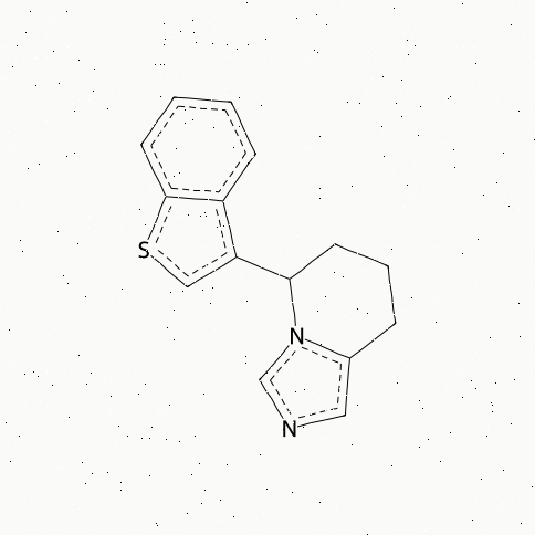 c1ccc2c(C3CCCc4cncn43)csc2c1